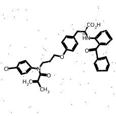 C=C(C)C(=O)N(CCCOc1ccc(C[C@H](Nc2ccccc2C(=O)c2ccccc2)C(=O)O)cc1)c1ccc(Cl)cc1